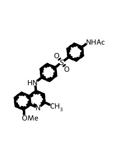 COc1cccc2c(Nc3ccc(S(=O)(=O)c4ccc(NC(C)=O)cc4)cc3)cc(C)nc12